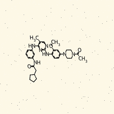 COc1cc(N2CCN(C(C)=O)CC2)ccc1Nc1ncc(C)c(Nc2cccc(NC(=O)CC3CCCC3)c2)n1